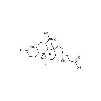 C[C@]12CCC(=O)C=C1C[C@@H](C(=O)O)[C@H]1[C@@H]3CC[C@@](O)(CCC(=O)O)[C@@]3(C)C[C@@H]3OC132